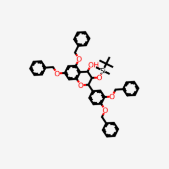 CC(C)(C)[Si](C)(C)OC1C(O)c2c(OCc3ccccc3)cc(OCc3ccccc3)cc2OC1c1ccc(OCc2ccccc2)c(OCc2ccccc2)c1